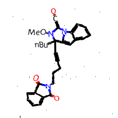 CCCCC1(C#CCCCN2C(=O)c3ccccc3C2=O)c2cc3ccccc3n2C(=C=O)N1OC